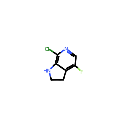 Fc1cnc(Cl)c2c1CCN2